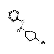 CCC[C@H]1CC[C@H](C(=O)Oc2cc[c]cc2)CC1